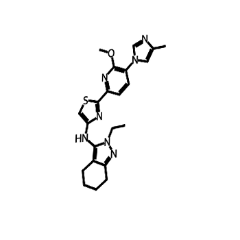 CCn1nc2c(c1Nc1csc(-c3ccc(-n4cnc(C)c4)c(OC)n3)n1)CCCC2